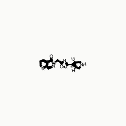 O=c1c2cccnc2cnn1Cc1nc([C@H]2[C@@H]3CNC[C@@H]32)no1